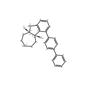 c1ccc(-c2ccc(-c3cccc4c3[C@@H]3CCNCC[C@@H]3N4)cc2)cc1